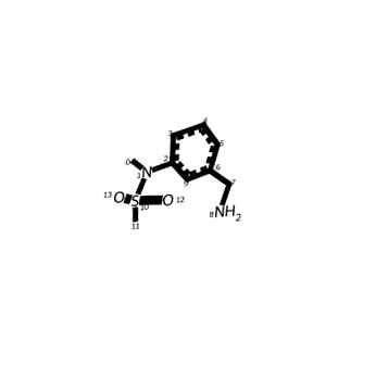 CN(c1cccc(CN)c1)S(C)(=O)=O